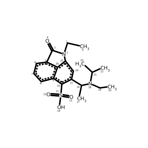 CCN1C(=O)c2cccc3c(S(=O)(=O)O)c(C(C)N(CC)C(C)C)cc1c23